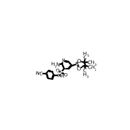 CC1(C)OB(c2cnc(N)c(S(=O)(=O)Nc3ccc(C#N)cc3)c2)OC1(C)C